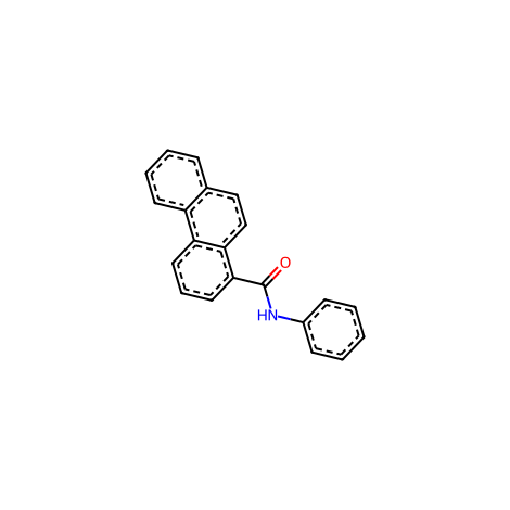 O=C(Nc1ccccc1)c1cccc2c1ccc1ccccc12